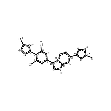 CCc1nnc(-c2c(Cl)cc(-c3cnc4cc(-c5cnn(C)c5)ccn34)cc2Cl)o1